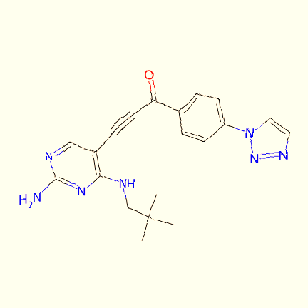 CC(C)(C)CNc1nc(N)ncc1C#CC(=O)c1ccc(-n2ccnn2)cc1